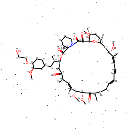 CO[C@H]1C[C@@H]2CC[C@@H](C)[C@@](OC)(O2)C(=O)C(=O)N2CCCC[C@H]2C(=O)O[C@H]([C@H](C)C[C@@H]2CC[C@@H](OCCO)[C@H](OC)C2)CC(=O)[C@H](C)/C=C(\C)[C@@H](OC)[C@@H](OC)C(=O)[C@H](C)CC/C=C/C=C/C=C/1C